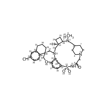 CN1C2CCN(CC2)CC(=O)NS(=O)(=O)c2ccc3c(c2)N(C[C@@H]2CC[C@H]21)C[C@@]1(CCCc2cc(Cl)ccc21)CO3